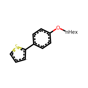 CCCCCCOc1ccc(-c2[c]ccs2)cc1